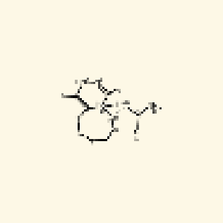 CC1=NNC(C)=C2CCCCC[C@@H](CC(N)=O)[C@@H]12